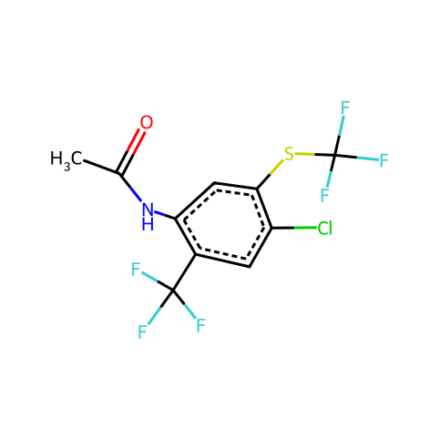 CC(=O)Nc1cc(SC(F)(F)F)c(Cl)cc1C(F)(F)F